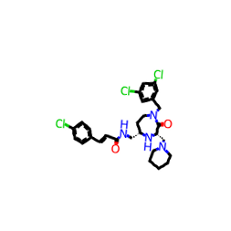 O=C(C=Cc1ccc(Cl)cc1)NC[C@@H]1CCN(Cc2cc(Cl)cc(Cl)c2)C(=O)[C@H](CN2CCCCC2)N1